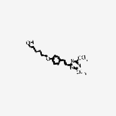 OCCCCCCOc1ccc(C=Cc2nc(C(Cl)(Cl)Cl)nc(C(Cl)(Cl)Cl)n2)cc1